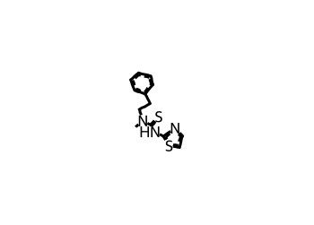 CN(CCc1ccccc1)C(=S)Nc1nccs1